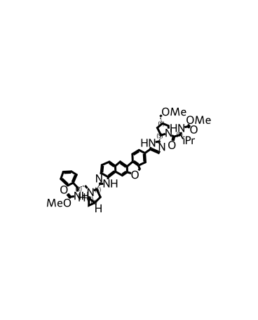 COC[C@H]1C[C@@H](c2ncc(-c3ccc4c(c3)COc3cc5c(ccc6nc([C@@H]7C[C@H]8C[C@H]8N7C[C@H](NC(=O)OC)c7ccccc7)[nH]c65)cc3-4)[nH]2)N(C(=O)[C@@H](NC(=O)OC)C(C)C)C1